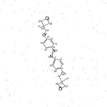 CC1(COc2ccc(/N=N/c3ccc(OCC4(C)COC4)cc3)cc2)COC1